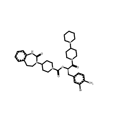 Cc1ccc(C[C@@H](OC(=O)N2CCC(N3CCc4ccccc4NC3=O)CC2)C(=O)N2CCC(N3CCCCC3)CC2)cc1Br